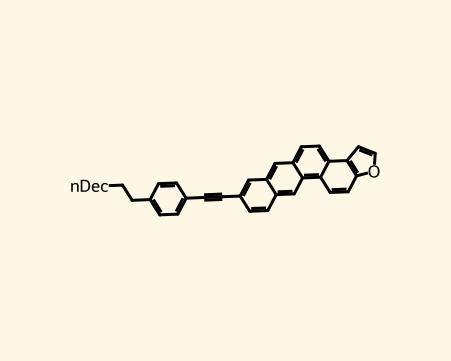 CCCCCCCCCCCCc1ccc(C#Cc2ccc3cc4c(ccc5c6ccoc6ccc45)cc3c2)cc1